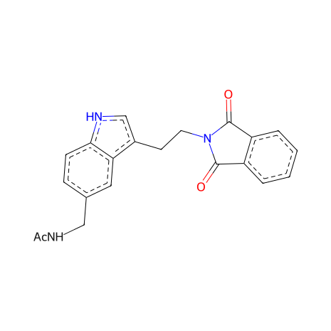 CC(=O)NCc1ccc2[nH]cc(CCN3C(=O)c4ccccc4C3=O)c2c1